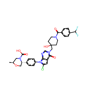 C[C@H]1CN(C(=O)O)[C@H](c2ccc(-n3c(Cl)cc4c(=O)n(CC5(O)CCN(C(=O)c6ccc(C(F)F)cc6)CC5)cnc43)cc2)CO1